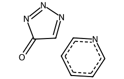 O=C1C=NN=N1.c1ccncc1